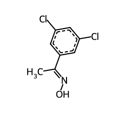 CC(=NO)c1cc(Cl)cc(Cl)c1